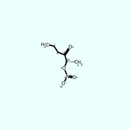 CCCC(=O)[C@H](C)O[N+](=O)[O-]